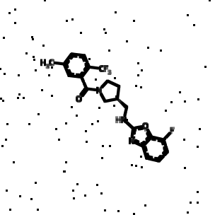 Cc1ccc(C(F)(F)F)c(C(=O)N2CC[C@@H](CNc3nc4cccc(F)c4o3)C2)c1